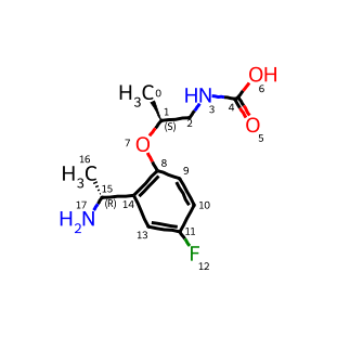 C[C@@H](CNC(=O)O)Oc1ccc(F)cc1[C@@H](C)N